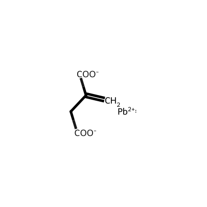 C=C(CC(=O)[O-])C(=O)[O-].[Pb+2]